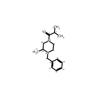 CC(C)C(=O)N1CCN(Cc2ccccc2)C(C)C1